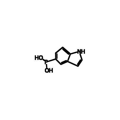 OP(O)c1ccc2[nH]ccc2c1